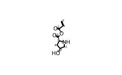 C=CC(=O)OC(=O)[C@@H]1C[C@H](O)CN1